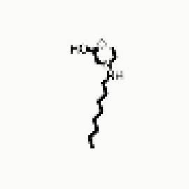 CCCCCCCCNN(CC)CC(=O)O